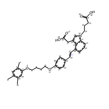 Cc1cc(C)c(OCCCCOc2ccc(/C=C/c3cccc4c3c(CC(=O)O)cn4CCCC(=O)O)cc2)cc1C